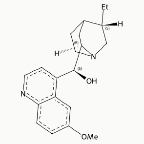 CC[C@@H]1CN2CCC1C[C@@H]2[C@@H](O)c1ccnc2ccc(OC)cc12